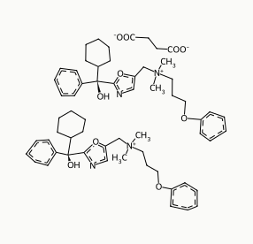 C[N+](C)(CCCOc1ccccc1)Cc1cnc([C@](O)(c2ccccc2)C2CCCCC2)o1.C[N+](C)(CCCOc1ccccc1)Cc1cnc([C@](O)(c2ccccc2)C2CCCCC2)o1.O=C([O-])CCC(=O)[O-]